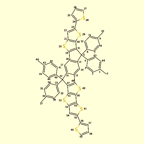 Cc1ccc(C2(c3ccc(C)cc3)c3cc4c(cc3-c3sc5cc(-c6cccs6)sc5c32)C(c2ccc(C)cc2)(c2ccc(C)cc2)c2c-4sc3c2sc2cc(-c4cccs4)sc23)cc1